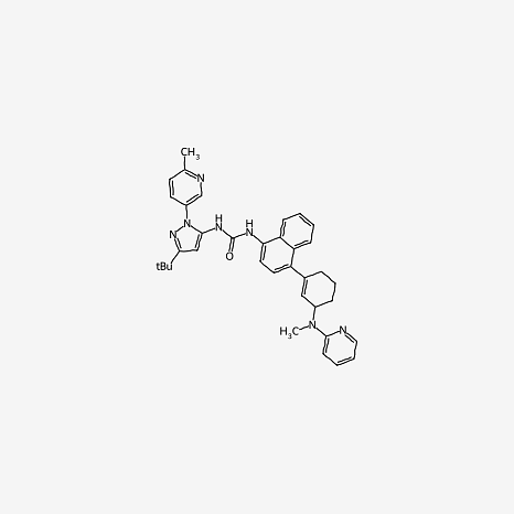 Cc1ccc(-n2nc(C(C)(C)C)cc2NC(=O)Nc2ccc(C3=CC(N(C)c4ccccn4)CCC3)c3ccccc23)cn1